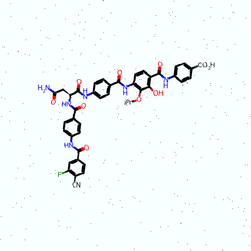 CC(C)Oc1c(NC(=O)c2ccc(NC(=O)[C@H](CC(N)=O)NC(=O)c3ccc(NC(=O)c4ccc(C#N)c(F)c4)cc3)cc2)ccc(C(=O)Nc2ccc(C(=O)O)cc2)c1O